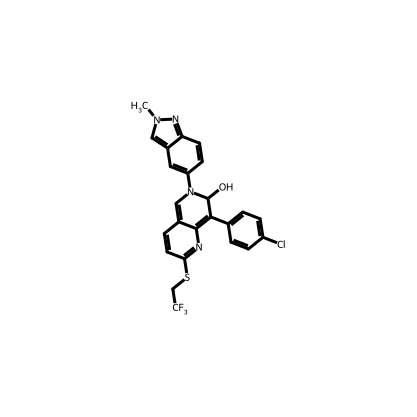 Cn1cc2cc(N3C=c4ccc(SCC(F)(F)F)nc4=C(c4ccc(Cl)cc4)C3O)ccc2n1